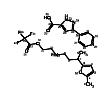 Cc1ccc(C(C)CCNCCOC(=O)C(F)(F)F)o1.O=C(O)c1cc(-c2ccncc2)n[nH]1